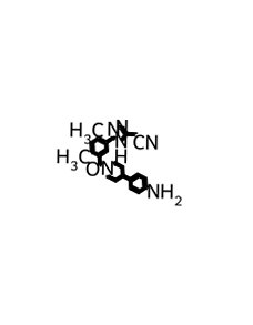 Cc1cc(C)c(-c2nnc(CC#N)[nH]2)cc1C(=O)N1CCC(c2ccc(N)cc2)CC1